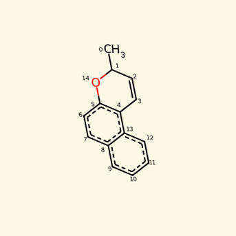 CC1C=Cc2c(ccc3ccccc23)O1